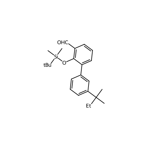 CCC(C)(C)c1cccc(-c2cccc(C=O)c2O[Si](C)(C)C(C)(C)C)c1